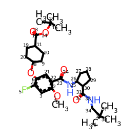 COc1cc(F)c(OC2CCC(C(=O)OC(C)(C)C)CC2)cc1C(=O)NC1CCCC1C(=O)NCC(C)(C)C